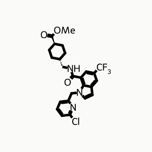 COC(=O)[C@H]1CC[C@H](CNC(=O)c2cc(C(F)(F)F)cc3ccn(Cc4cccc(Cl)n4)c23)CC1